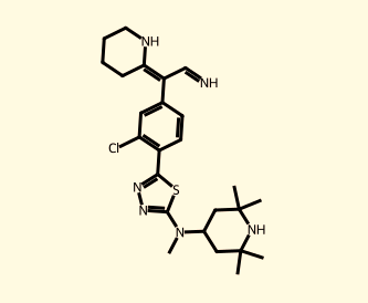 CN(c1nnc(-c2ccc(/C(C=N)=C3\CCCCN3)cc2Cl)s1)C1CC(C)(C)NC(C)(C)C1